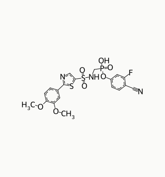 COc1ccc(-c2ncc(S(=O)(=O)NCP(=O)(O)Oc3ccc(C#N)c(F)c3)s2)cc1OC